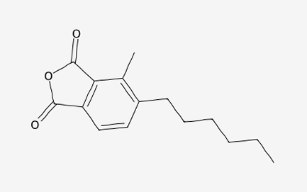 CCCCCCc1ccc2c(c1C)C(=O)OC2=O